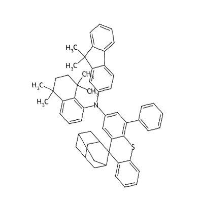 CC1(C)CCC(C)(C)c2c(N(c3ccc4c(c3)C(C)(C)c3ccccc3-4)c3cc(-c4ccccc4)c4c(c3)C3(c5ccccc5S4)C4CC5CC(C4)CC3C5)cccc21